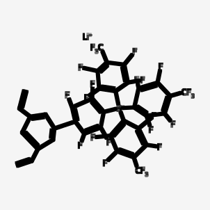 C=Cc1cc(C=C)cc(-c2c(F)c(F)c([B-](c3c(F)c(F)c(C(F)(F)F)c(F)c3F)(c3c(F)c(F)c(C(F)(F)F)c(F)c3F)c3c(F)c(F)c(C(F)(F)F)c(F)c3F)c(F)c2F)c1.[Li+]